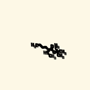 CCCCN(NC)C(=O)OC(C)(C)C